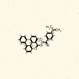 CN(OC(=O)c1ccccc1-c1ccccc1-c1ccccc1)C(=O)c1ccc(N(C)C)cc1